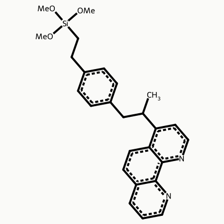 CO[Si](CCc1ccc(CC(C)c2ccnc3c2ccc2cccnc23)cc1)(OC)OC